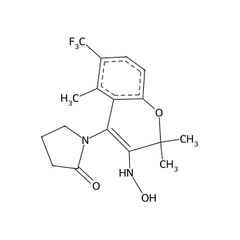 Cc1c(C(F)(F)F)ccc2c1C(N1CCCC1=O)=C(NO)C(C)(C)O2